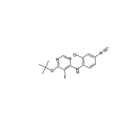 [C-]#[N+]c1ccc(Nc2ncnc(OC(C)(C)C)c2F)c(Cl)c1